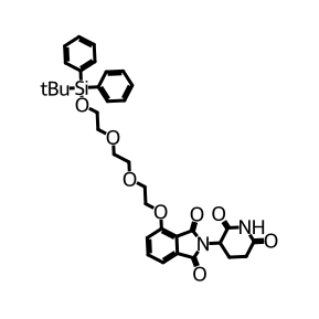 CC(C)(C)[Si](OCCOCCOCCOc1cccc2c1C(=O)N(C1CCC(=O)NC1=O)C2=O)(c1ccccc1)c1ccccc1